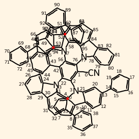 N#Cc1c(-n2c3ccccc3c3ccc(-c4ccccc4)cc32)c(-n2c3ccccc3c3ccc(-c4ccccc4)cc32)c(-c2cccc3sc4ccccc4c23)c(-n2c3ccccc3c3ccc(-c4ccccc4)cc32)c1-n1c2ccccc2c2ccc(-c3ccccc3)cc21